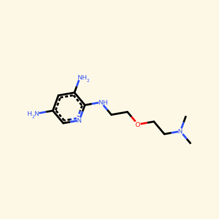 CN(C)CCOCCNc1ncc(N)cc1N